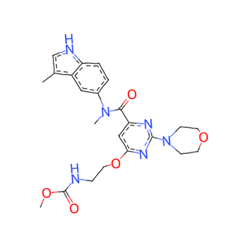 COC(=O)NCCOc1cc(C(=O)N(C)c2ccc3[nH]cc(C)c3c2)nc(N2CCOCC2)n1